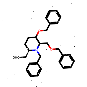 O=CC[C@H]1CCC(OCc2ccccc2)C(COCc2ccccc2)N1Cc1ccccc1